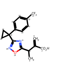 C=C(C(=O)O)C(C)c1nc(C2(c3ccc(C(F)(F)F)cc3)CC2)no1